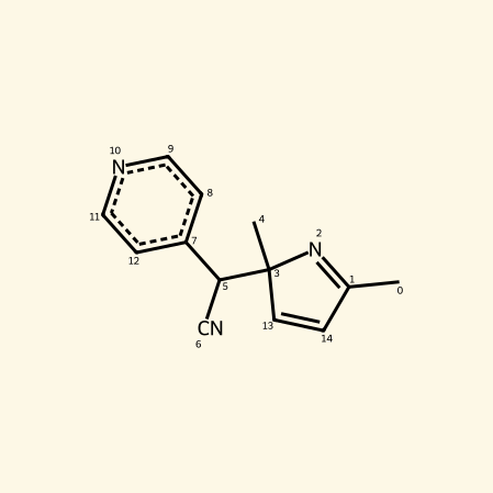 CC1=NC(C)(C(C#N)c2ccncc2)C=C1